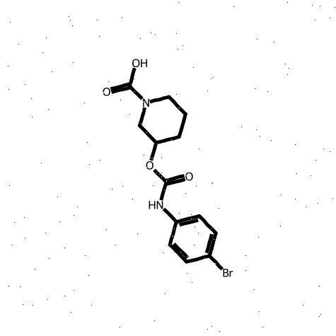 O=C(Nc1ccc(Br)cc1)OC1CCCN(C(=O)O)C1